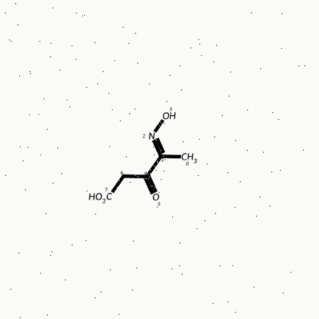 CC(=NO)C(=O)CC(=O)O